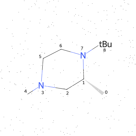 C[C@@H]1CN(C)CCN1C(C)(C)C